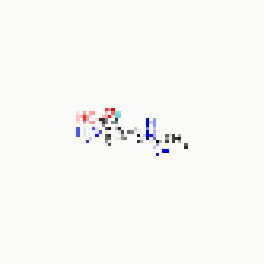 CC(=N)NCC/C=C(\F)[C@@](C)(N)C(=O)O